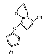 N#Cc1ccc(Oc2ccc(Cl)cc2)c2c1C=CCO2